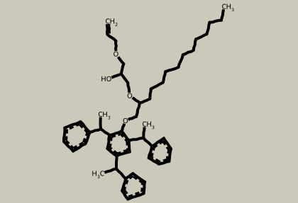 C=CCOCC(O)COC(CCCCCCCCCCCC)COc1c(C(C)c2ccccc2)cc(C(C)c2ccccc2)cc1C(C)c1ccccc1